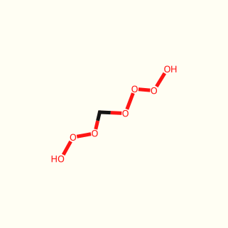 OOOCOOOO